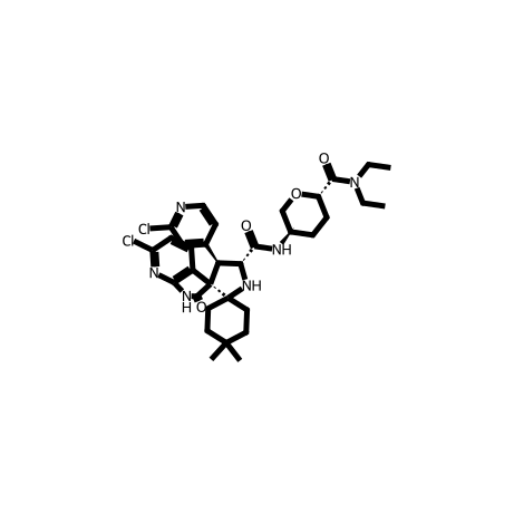 CCN(CC)C(=O)[C@@H]1CC[C@@H](NC(=O)[C@@H]2NC3(CCC(C)(C)CC3)[C@@]3(C(=O)Nc4nc(Cl)ccc43)[C@H]2c2ccnc(Cl)c2)CO1